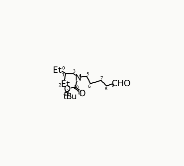 CCC(CC)CN(CCCCC=O)C(=O)OC(C)(C)C